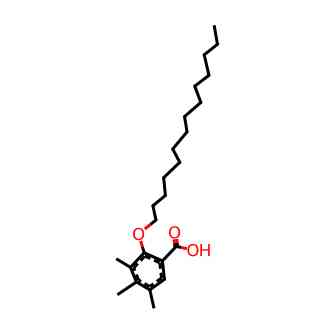 CCCCCCCCCCCCCCOc1c(C(=O)O)cc(C)c(C)c1C